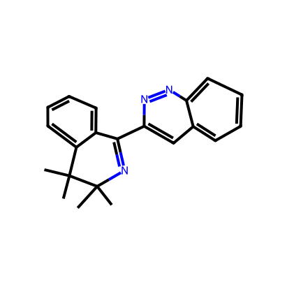 CC1(C)N=C(c2cc3ccccc3nn2)c2ccccc2C1(C)C